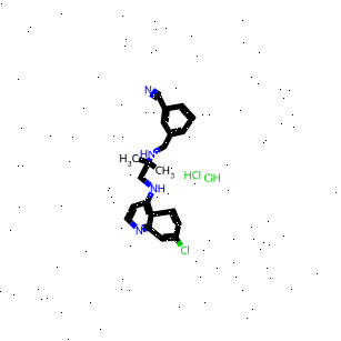 CC(C)(CNc1ccnc2cc(Cl)ccc12)NCc1cccc(C#N)c1.Cl.Cl